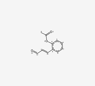 CC(=O)Oc1ccccc1C=CC=O